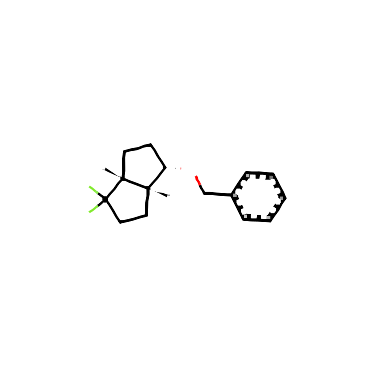 FC1(F)CC[C@H]2[C@@H](OCc3ccccc3)CC[C@H]21